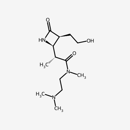 C[C@@H](C(=O)N(C)CCN(C)C)[C@H]1NC(=O)[C@H]1CCO